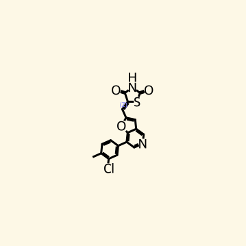 Cc1ccc(-c2cncc3cc(/C=C4\SC(=O)NC4=O)oc23)cc1Cl